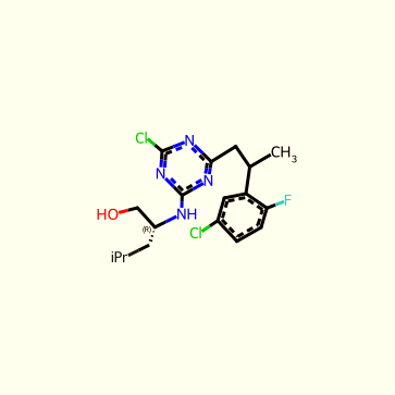 CC(C)C[C@H](CO)Nc1nc(Cl)nc(CC(C)c2cc(Cl)ccc2F)n1